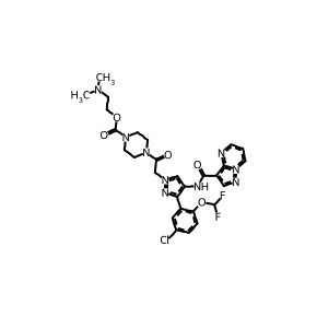 CN(C)CCOC(=O)N1CCN(C(=O)Cn2cc(NC(=O)c3cnn4cccnc34)c(-c3cc(Cl)ccc3OC(F)F)n2)CC1